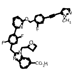 Cn1nccc1C#Cc1ccc(COc2cccc(-c3cc(F)c(Cc4nc5ccc(C(=O)O)cc5n4CC4CCO4)cc3F)n2)c(F)c1